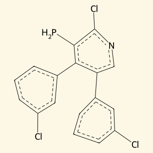 Pc1c(Cl)ncc(-c2cccc(Cl)c2)c1-c1cccc(Cl)c1